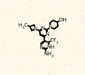 CC1CN(c2cc(C3=CN=C(N)NC3C(F)(F)F)nc(N3CCC(O)CC3)n2)C1